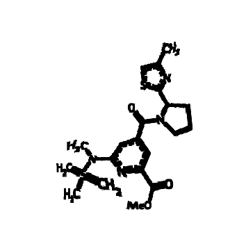 C=S(=C)(C)N(C)c1cc(C(=O)N2CCCC2c2nc(C)cs2)cc(C(=O)OC)n1